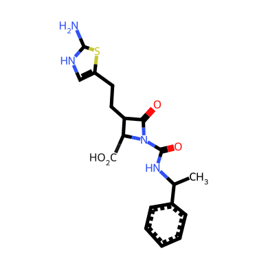 CC(NC(=O)N1C(=O)C(CCC2=CNC(N)S2)C1C(=O)O)c1ccccc1